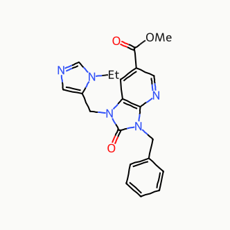 CCn1cncc1Cn1c(=O)n(Cc2ccccc2)c2ncc(C(=O)OC)cc21